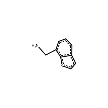 NCc1cccc2ccsc12